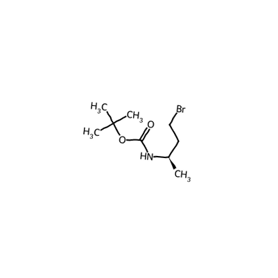 C[C@H](CCBr)NC(=O)OC(C)(C)C